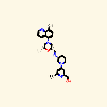 Cc1cc(N2CCC[C@H](NC[C@H]3CN(c4ccc(C#N)c5ncccc45)C[C@@H](C)O3)C2)cc(CO)n1